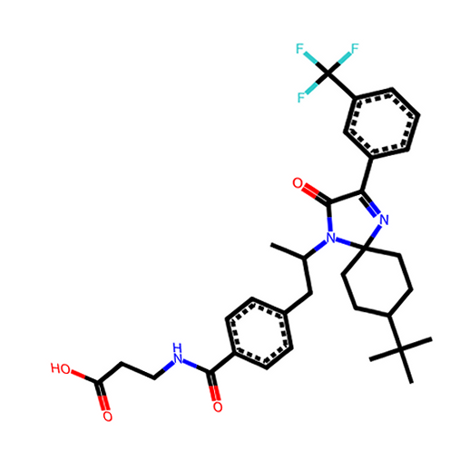 CC(Cc1ccc(C(=O)NCCC(=O)O)cc1)N1C(=O)C(c2cccc(C(F)(F)F)c2)=NC12CCC(C(C)(C)C)CC2